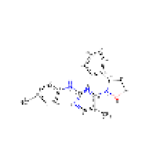 N#Cc1ccc(Nc2ncc(C(F)(F)F)c(N3OCCC3c3ccccc3)n2)cc1